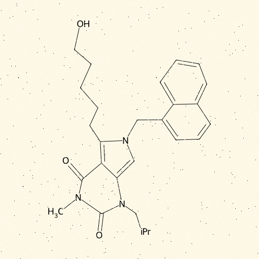 CC(C)Cn1c(=O)n(C)c(=O)c2c(CCCCCO)n(Cc3cccc4ccccc34)cc21